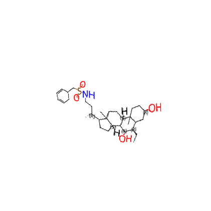 CC[C@@H]1C2C[C@H](O)CCC2(C)[C@H]2CCC3(C)C([C@H](C)CCNS(=O)(=O)CC4C=CC=CC4)CC[C@H]3C2[C@@H]1O